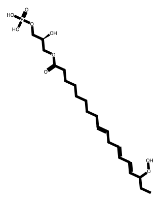 CCC(C=CC=CCC=CCCCCCCCC(=O)OC[C@H](O)COP(=O)(O)O)OO